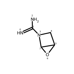 N=C(N)N1CC2OC21